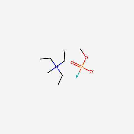 CC[N+](C)(CC)CC.COP(=O)([O-])F